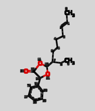 CC=CCCCCC(CC)C1OC(=O)C(c2ccccc2)O1